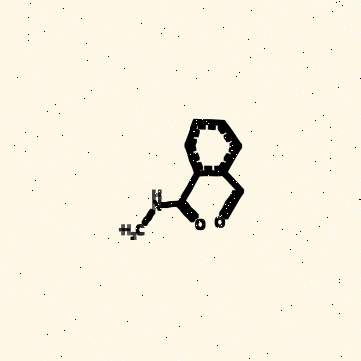 [CH2]NC(=O)c1ccccc1C=O